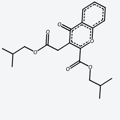 CC(C)COC(=O)Cc1c(C(=O)OCC(C)C)oc2ccccc2c1=O